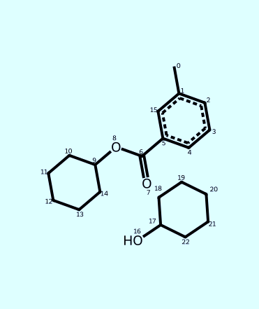 Cc1cccc(C(=O)OC2CCCCC2)c1.OC1CCCCC1